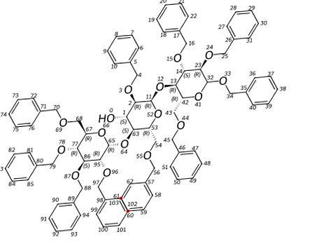 O[C@@H]1[C@@H](OCc2ccccc2)[C@@H](O[C@H]2[C@H](OCc3ccccc3)[C@@H](OCc3ccccc3)C(OCc3ccccc3)O[C@@H]2COCc2ccccc2)O[C@H](COCc2ccccc2)[C@H]1O[C@H]1O[C@H](COCc2ccccc2)[C@@H](OCc2ccccc2)[C@H](OCc2ccccc2)[C@H]1OCc1ccccc1